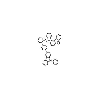 C1=CCC(Nc2ccccc2-c2cccc3oc4ccccc4c23)C(c2ccc(-c3ccc4c(c3)c3ccccc3n4-c3ccccc3)cc2)=C1